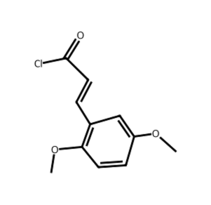 COc1ccc(OC)c(/C=C/C(=O)Cl)c1